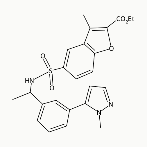 CCOC(=O)c1oc2ccc(S(=O)(=O)NC(C)c3cccc(-c4ccnn4C)c3)cc2c1C